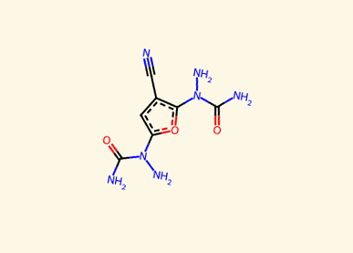 N#Cc1cc(N(N)C(N)=O)oc1N(N)C(N)=O